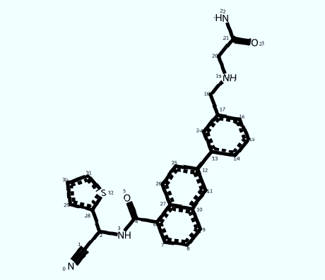 N#CC(NC(=O)c1cccc2cc(-c3cccc(CNCC([NH])=O)c3)ccc12)c1cccs1